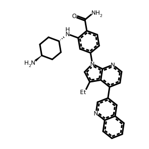 CCc1cn(-c2ccc(C(N)=O)c(N[C@H]3CC[C@H](N)CC3)c2)c2nccc(-c3cnc4ccccc4c3)c12